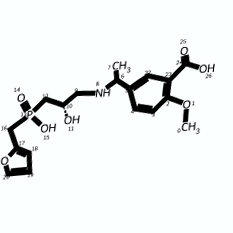 COc1ccc(C(C)NC[C@H](O)CP(=O)(O)Cc2ccco2)cc1C(=O)O